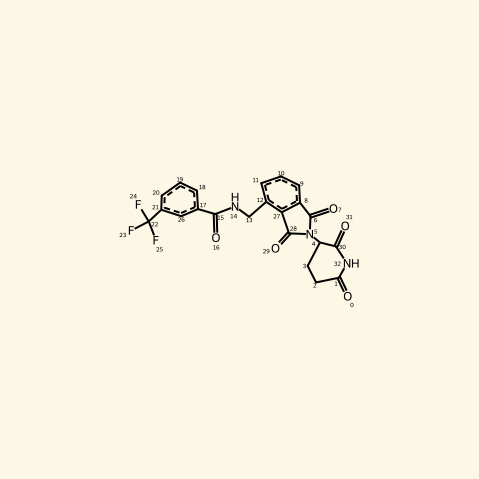 O=C1CCC(N2C(=O)c3cccc(CNC(=O)c4cccc(C(F)(F)F)c4)c3C2=O)C(=O)N1